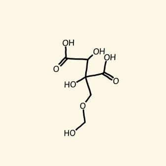 O=C(O)C(O)C(O)(COCO)C(=O)O